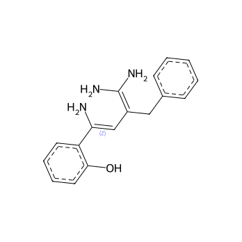 NC(N)=C(/C=C(\N)c1ccccc1O)Cc1ccccc1